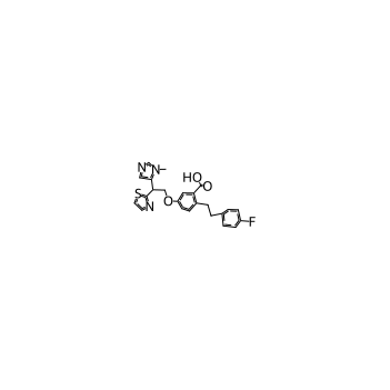 Cn1cncc1C(COc1ccc(CCc2ccc(F)cc2)c(C(=O)O)c1)c1nccs1